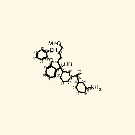 COCCCC[C@@](O)(c1ccccc1Oc1ccccc1C)C1CCCN(C(=O)C2CCCC(N)C2)C1